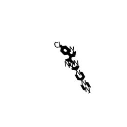 CN1CCN(C2CCN(c3cnc4c(-c5ccnc6cc(Cl)ccc56)cnn4c3)CC2)CC1